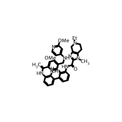 C=C(Nc1cccc(-c2cccc(NC(=O)c3nc4c(n3C)CCN(CC)C4)c2C)c1C)c1cc(OC)c(CNc2ccnc(OC)c2)cn1